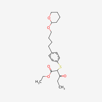 CCOC(=O)C(Sc1ccc(CCCCOC2CCCCO2)cc1)C(=O)CC